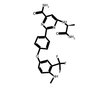 CNc1ccc(Oc2ccc(-c3nc(N[C@@H](C)C(N)=O)cc(C(N)=O)n3)cc2)cc1C(F)(F)F